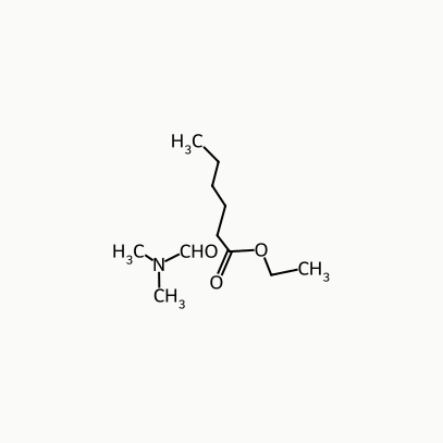 CCCCCC(=O)OCC.CN(C)C=O